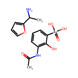 CC(=O)Nc1cccc([As](=O)(O)O)c1O.CC(N)c1ccco1